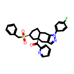 O=C(c1ccccn1)[C@]12Cc3cnn(-c4ccc(F)cc4)c3CC1CC[C@H](S(=O)(=O)Cc1ccccc1)C2